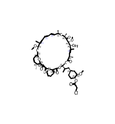 CO[C@H]1C[C@@H]2CC[C@@H](C)[C@@](O)(O2)C(=O)C(=O)N2CCCC[C@H]2C(=O)O[C@H](C(C)C[C@@H]2CC[C@@H](OC(=O)CCl)[C@H](OC)C2)CC(=O)[C@H](C)/C=C(\C)[C@@H](O)[C@@H](OC)C(=O)[C@H](C)C[C@H](C)/C=C/C=C/C=C/1C